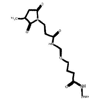 CCCCCCNC(=O)CCCOCNC(=O)CCN1C(=O)CC(C)C1=O